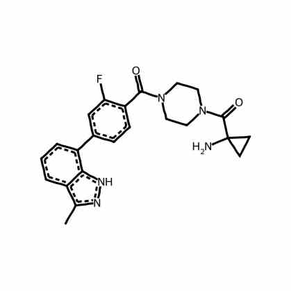 Cc1n[nH]c2c(-c3ccc(C(=O)N4CCN(C(=O)C5(N)CC5)CC4)c(F)c3)cccc12